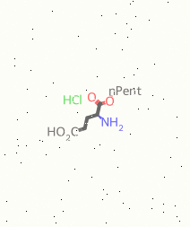 CCCCCOC(=O)[C@@H](N)CCC(=O)O.Cl